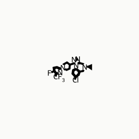 Fc1ccc(N2CCC(c3nnc4n3-c3ccc(Cl)cc3CN(C3CC3)C4)CC2)nc1C(F)(F)F